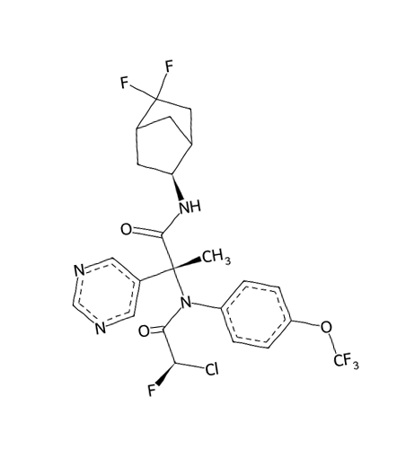 C[C@](C(=O)N[C@H]1CC2CC1CC2(F)F)(c1cncnc1)N(C(=O)[C@H](F)Cl)c1ccc(OC(F)(F)F)cc1